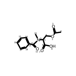 CC(=O)OCC(C(=O)O)N(C)C(=O)c1ccccc1